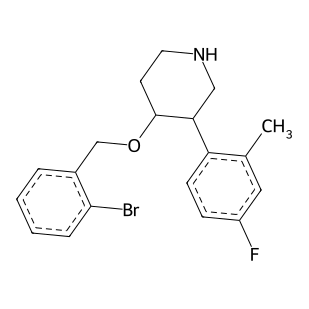 Cc1cc(F)ccc1C1CNCCC1OCc1ccccc1Br